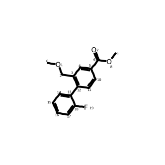 COCc1cc(C(=O)OC)ccc1-c1ccccc1F